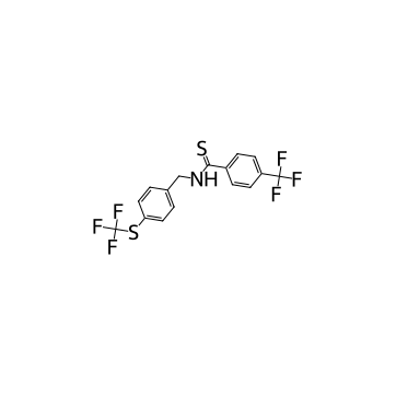 FC(F)(F)Sc1ccc(CNC(=S)c2ccc(C(F)(F)F)cc2)cc1